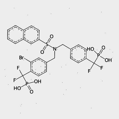 O=P(O)(O)C(F)(F)c1ccc(CN(Cc2ccc(C(F)(F)P(=O)(O)O)c(Br)c2)S(=O)(=O)c2ccc3ccccc3c2)cc1